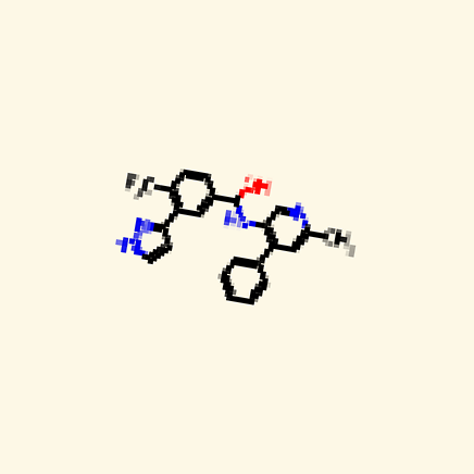 Cc1cc(-c2ccccc2)c(NC(O)c2ccc(C(F)(F)F)c(-c3cc[nH]n3)c2)cn1